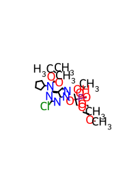 CCOP(=O)(OCC)C(CO)(COCCOC)On1ncc2c(N(C(=O)OC(C)(C)C)C3CCCC3)nc(Cl)nc21